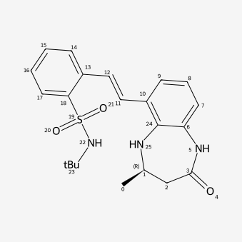 C[C@@H]1CC(=O)Nc2cccc(C=Cc3ccccc3S(=O)(=O)NC(C)(C)C)c2N1